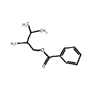 CC(C)C(C)COC(=O)c1ccccc1